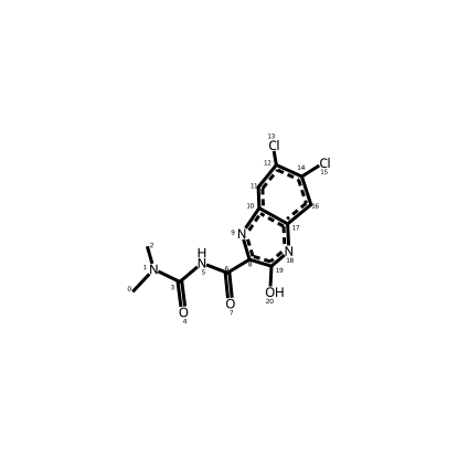 CN(C)C(=O)NC(=O)c1nc2cc(Cl)c(Cl)cc2nc1O